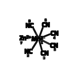 N#[C][Mn-2]([C]#N)([C]#N)([C]#N)([C]#N)[C]#N.[Zn+2]